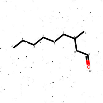 CCCCCCC(C)C[C]=O